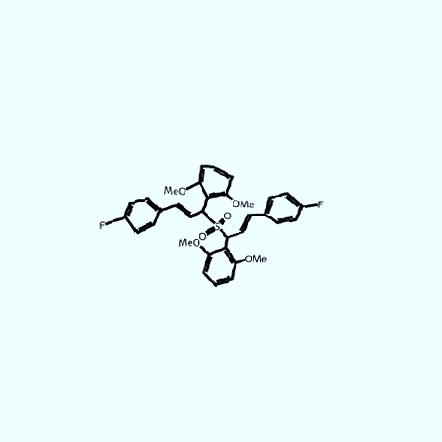 COc1cccc(OC)c1C(C=Cc1ccc(F)cc1)S(=O)(=O)C(C=Cc1ccc(F)cc1)c1c(OC)cccc1OC